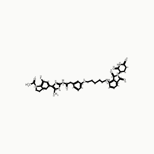 CC(=O)N1CCc2cc(-c3nc(NC(=O)Cc4cccc(OCCCCCNc5cccc6c5C(=O)N(C5CCC(=O)NC5=O)C6=O)c4)sc3C)cc(F)c21